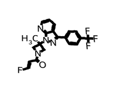 CC1(n2nc(-c3ccc(C(F)(F)F)cc3)c3cccnc32)CN(C(=O)C=CF)C1